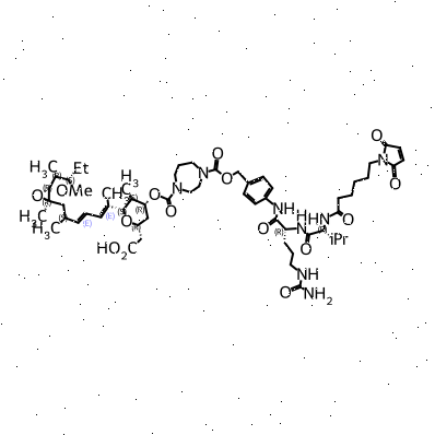 CC[C@H](OC)[C@@H](C)[C@H]1O[C@]1(C)C[C@H](C)/C=C/C=C(\C)[C@H]1O[C@@H](CC(=O)O)C[C@@H](OC(=O)N2CCCN(C(=O)OCc3ccc(NC(=O)[C@@H](CCCNC(N)=O)NC(=O)[C@H](NC(=O)CCCCCN4C(=O)C=CC4=O)C(C)C)cc3)CC2)[C@@H]1C